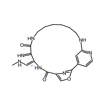 CN/C=C1/NC(=O)c2coc(n2)-c2ccnc(c2)NCCCCCCNC(=O)C1=N